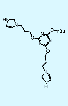 CCCCOc1nc(OCCCN2C=CNC2)nc(OCCCN2C=CNC2)n1